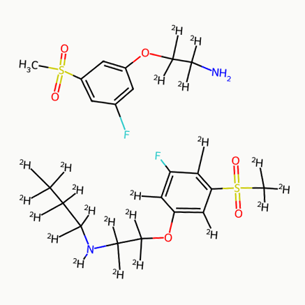 [2H]C([2H])(N)C([2H])([2H])Oc1cc(F)cc(S(C)(=O)=O)c1.[2H]c1c(F)c([2H])c(S(=O)(=O)C([2H])([2H])[2H])c([2H])c1OC([2H])([2H])C([2H])([2H])N([2H])C([2H])([2H])C([2H])([2H])C([2H])([2H])[2H]